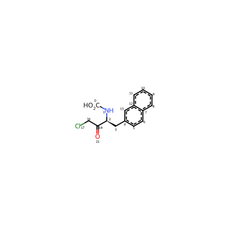 O=C(O)N[C@@H](Cc1ccc2ccccc2c1)C(=O)CCl